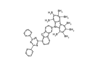 Bc1c(B)c(B)c2c(c1B)c1c(B)c(B)c(B)c(B)c1n2-c1ccc2oc3c(-c4nc(-c5ccccc5)nc(-c5ccccc5)n4)cccc3c2c1